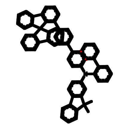 CC1(C)c2ccccc2-c2ccc(N(c3ccc(-c4ccc(-c5cccc6c5C5(c7ccccc7-c7ccccc75)c5ccccc5-6)cc4)cc3)c3ccccc3-c3ccccc3)cc21